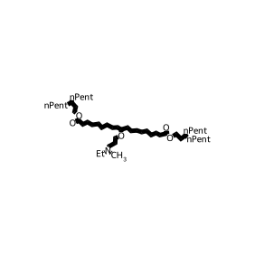 CCCCCC(CCCCC)CCOC(=O)CCCCCCCCC(CCCCCCCCC(=O)OCCC(CCCCC)CCCCC)OCCCN(C)CC